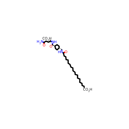 NC(=O)CC[C@H](NC(=O)[C@H]1CC[C@H](CNC(=O)CCCCCCCCCCCCCCCCCCC(=O)O)CC1)C(=O)O